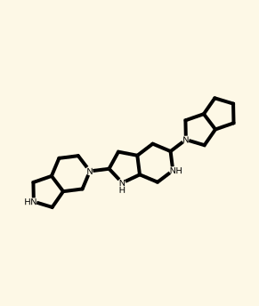 C1CC2CN(C3CC4CC(N5CCC6CNCC6C5)NC4CN3)CC2C1